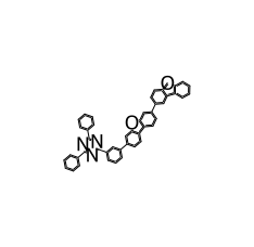 c1ccc(-c2nc(-c3ccccc3)nc(-c3cccc(-c4ccc5c(c4)oc4cc(-c6ccc7oc8ccccc8c7c6)ccc45)c3)n2)cc1